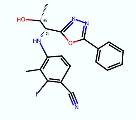 Cc1c(N[C@@H](c2nnc(-c3ccccc3)o2)[C@@H](C)O)ccc(C#N)c1I